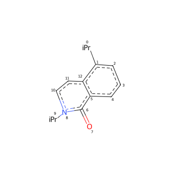 CC(C)c1cccc2c(=O)n(C(C)C)ccc12